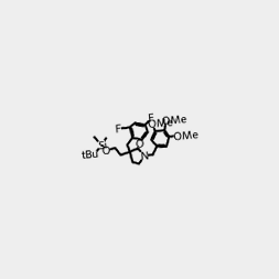 COc1cc(CN2CCC(CCO[Si](C)(C)C(C)(C)C)(Cc3ccc(F)cc3F)C2=O)cc(OC)c1OC